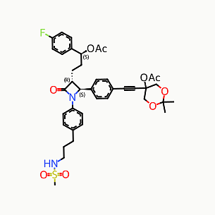 CC(=O)O[C@@H](CC[C@H]1C(=O)N(c2ccc(CCCNS(C)(=O)=O)cc2)[C@@H]1c1ccc(C#CC2(OC(C)=O)COC(C)(C)OC2)cc1)c1ccc(F)cc1